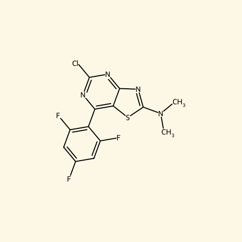 CN(C)c1nc2nc(Cl)nc(-c3c(F)cc(F)cc3F)c2s1